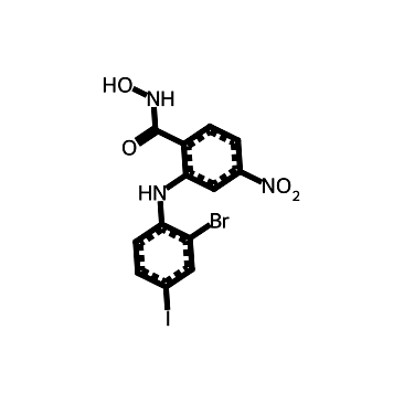 O=C(NO)c1ccc([N+](=O)[O-])cc1Nc1ccc(I)cc1Br